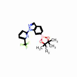 CC1(C)OB(c2ccc3cnn(-c4cccc(C(F)(F)F)n4)c3c2)OC1(C)C